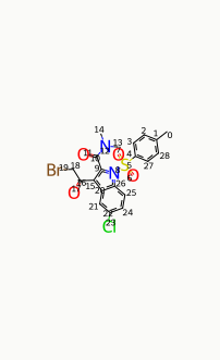 Cc1ccc(S(=O)(=O)n2c(C(=O)N(C)C)c(C(=O)CBr)c3cc(Cl)ccc32)cc1